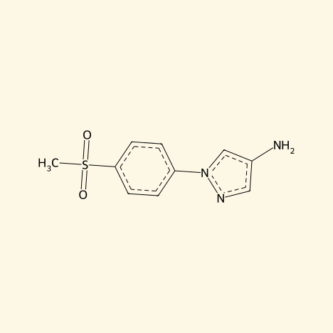 CS(=O)(=O)c1ccc(-n2cc(N)cn2)cc1